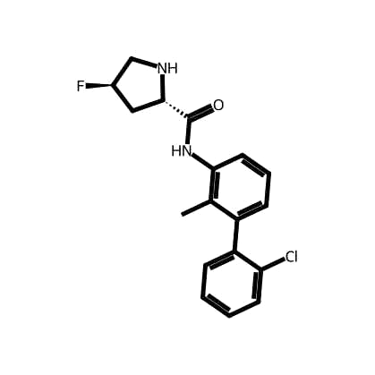 Cc1c(NC(=O)[C@@H]2C[C@@H](F)CN2)cccc1-c1ccccc1Cl